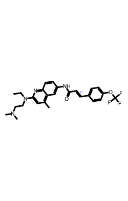 CCN(CCN(C)C)c1cc(C)c2cc(NC(=O)/C=C/c3ccc(OC(F)(F)F)cc3)ccc2n1